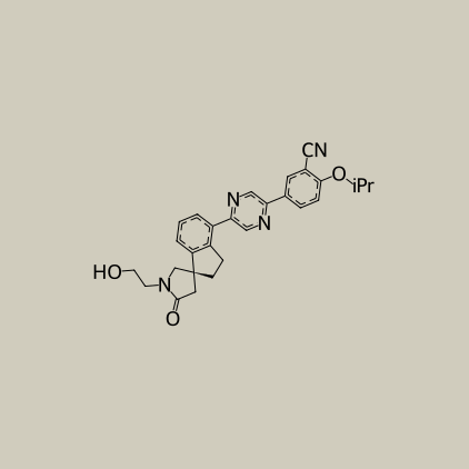 CC(C)Oc1ccc(-c2cnc(-c3cccc4c3CC[C@]43CC(=O)N(CCO)C3)cn2)cc1C#N